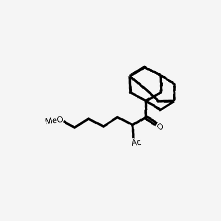 COCCCCC(C(C)=O)C(=O)C12CC3CC(CC(C3)C1)C2